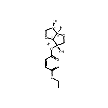 CCOC(=O)/C=C\C(=O)O[C@@]1(O)CO[C@@H]2[C@H](O)CO[C@@H]21